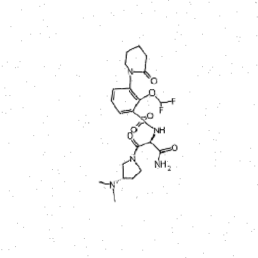 CN(C)[C@H]1CCN(C(=O)[C@@H](NS(=O)(=O)c2cccc(N3CCCCC3=O)c2OC(F)F)C(N)=O)C1